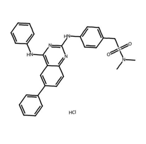 CN(C)S(=O)(=O)Cc1ccc(Nc2nc(Nc3ccccc3)c3cc(-c4ccccc4)ccc3n2)cc1.Cl